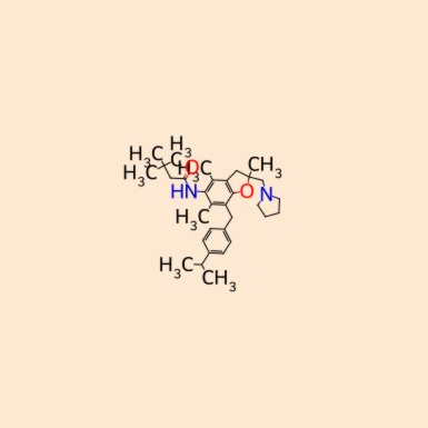 Cc1c(Cc2ccc(C(C)C)cc2)c2c(c(C)c1NC(=O)CC(C)(C)C)CC(C)(CN1CCCC1)O2